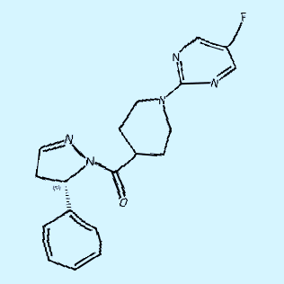 O=C(C1CCN(c2ncc(F)cn2)CC1)N1N=CC[C@H]1c1ccccc1